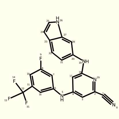 N#Cc1cc(Nc2cc(F)cc(C(F)(F)F)c2)cc(Nc2ccc3cc[nH]c3c2)n1